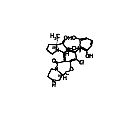 CNC(=O)[C@]1(C)CCCN1c1nc(-c2c(O)cccc2O)c(Cl)c2c1C(=O)N1CCNC[C@@H]1CO2